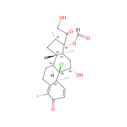 CCC(=O)O[C@@]1(C(=O)CO)[C@@H](C)C[C@H]2[C@@H]3CCC4=C(F)C(=O)C=C[C@]4(C)[C@@]3(Cl)[C@@H](O)C[C@@]21C